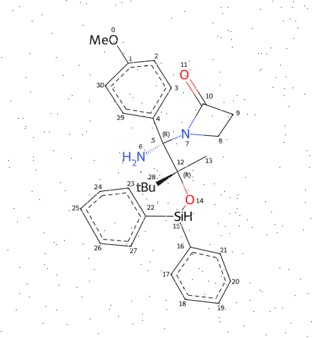 COc1ccc([C@@](N)(N2CCC2=O)[C@](C)(O[SiH](c2ccccc2)c2ccccc2)C(C)(C)C)cc1